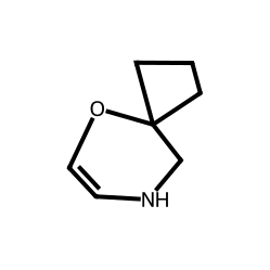 C1=COC2(CCC2)CN1